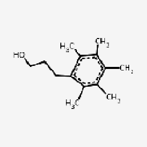 Cc1c(C)c(C)c(CCCO)c(C)c1C